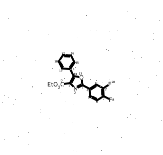 CCOC(=O)c1nc(-c2ccc(F)c(F)c2)oc1-c1ccccc1